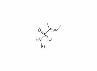 C/C=C(\C)S(=O)(=O)NCC